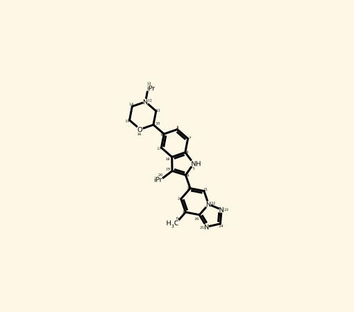 Cc1cc(-c2[nH]c3ccc(C4CN(C(C)C)CCO4)cc3c2C(C)C)cn2ncnc12